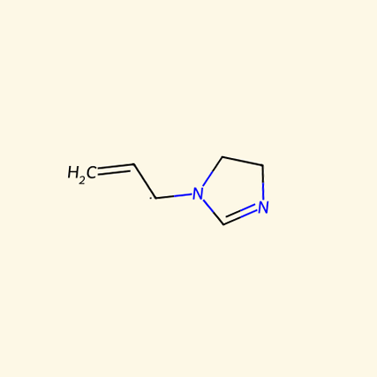 C=C[CH]N1C=NCC1